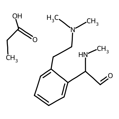 CCC(=O)O.CNC(C=O)c1ccccc1CCN(C)C